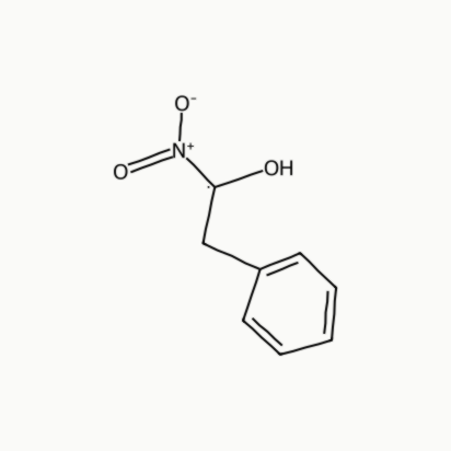 O=[N+]([O-])[C](O)Cc1ccccc1